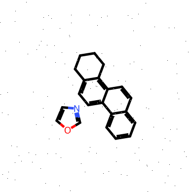 c1ccc2c(c1)ccc1c3c(ccc12)CCCC3.c1cocn1